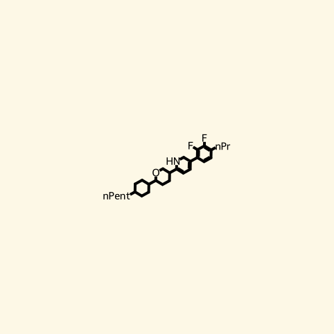 CCCCCC1CCC(C2CCC(C3=CC=C(c4ccc(CCC)c(F)c4F)CN3)CO2)CC1